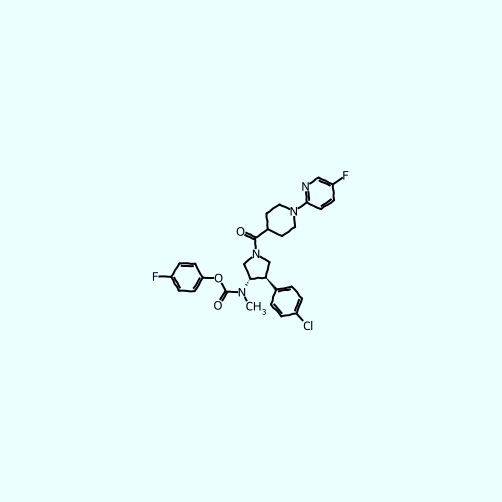 CN(C(=O)Oc1ccc(F)cc1)[C@@H]1CN(C(=O)C2CCN(c3ccc(F)cn3)CC2)C[C@H]1c1ccc(Cl)cc1